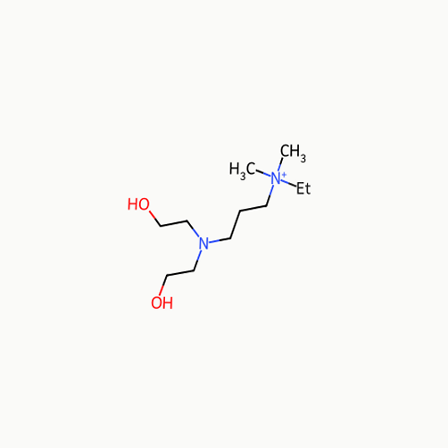 CC[N+](C)(C)CCCN(CCO)CCO